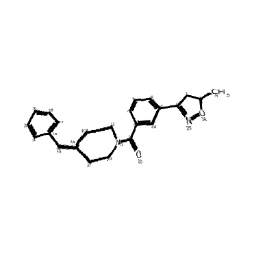 CC1CC(c2cccc(C(=O)N3CCC(Cc4ccccc4)CC3)c2)=NO1